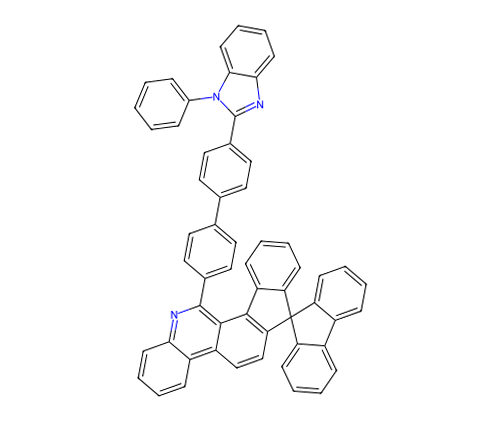 c1ccc(-n2c(-c3ccc(-c4ccc(-c5nc6ccccc6c6ccc7c(c56)-c5ccccc5C75c6ccccc6-c6ccccc65)cc4)cc3)nc3ccccc32)cc1